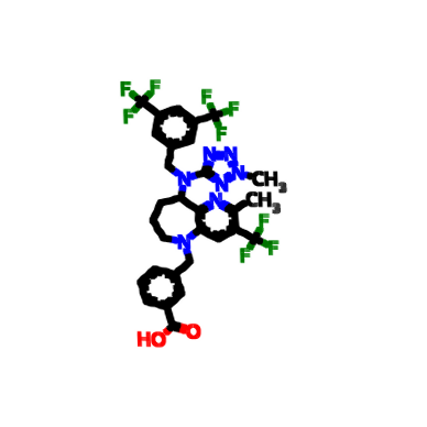 Cc1nc2c(cc1C(F)(F)F)N(Cc1cccc(C(=O)O)c1)CCCC2N(Cc1cc(C(F)(F)F)cc(C(F)(F)F)c1)c1nnn(C)n1